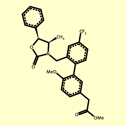 COC(=O)Cc1ccc(OC)c(-c2ccc(C(F)(F)F)cc2CN2C(=O)O[C@@H](c3ccccc3)[C@H]2C)c1